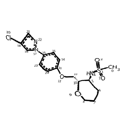 CS(=O)(=O)N[C@H]1CCCO[C@@H]1COc1ccc(-n2cc(Cl)cn2)cc1